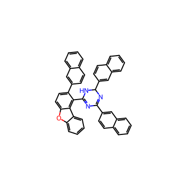 c1ccc2cc(C3=NC(c4ccc5ccccc5c4)NC(c4c(-c5ccc6ccccc6c5)ccc5oc6ccccc6c45)=N3)ccc2c1